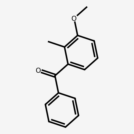 COc1cccc(C(=O)c2ccccc2)c1C